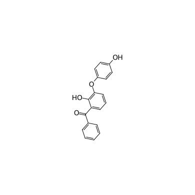 O=C(c1ccccc1)c1cccc(Oc2ccc(O)cc2)c1O